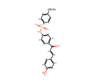 CC(=O)Nc1ccc(S(=O)(=O)Oc2ccc(C(=O)/C=C/c3ccc(O)cc3)cc2)cc1